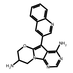 Nc1ncnc2c1c(-c1cnc3ccccc3c1)c1n2CC(N)CO1